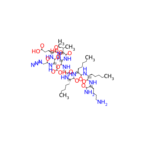 CCCCC[C@H](NC(=O)CNC(=O)[C@H](CC(=O)O)NC(=O)[C@@H](NC(=O)[C@H](CCC(=O)O)NC(=O)[C@H](CC(=O)O)NC(=O)CN=[N+]=[N-])C(C)C)C(=O)N[C@@H](CCCCC)C(=O)N[C@@H](CCCCC)C(=O)N[C@@H](CCCCN)C(N)=O